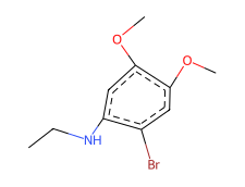 CCNc1cc(OC)c(OC)cc1Br